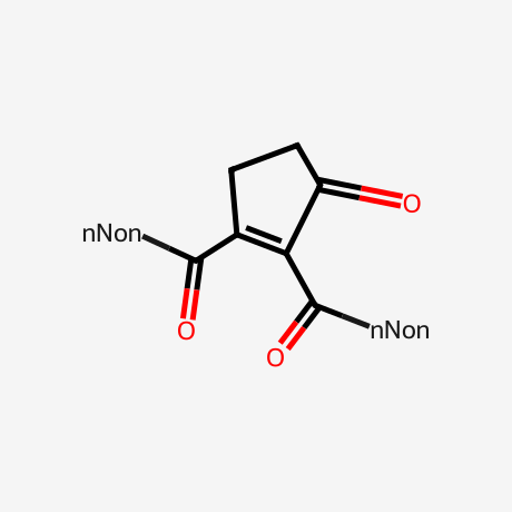 CCCCCCCCCC(=O)C1=C(C(=O)CCCCCCCCC)C(=O)CC1